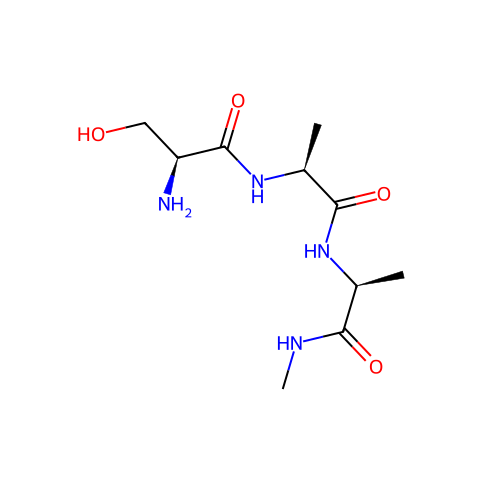 CNC(=O)[C@H](C)NC(=O)[C@H](C)NC(=O)[C@@H](N)CO